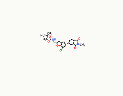 CN1C(=O)c2ccc(-c3cc(Cl)c4oc(CNC(=O)OC(C)(C)C)cc4c3)cc2C1=O